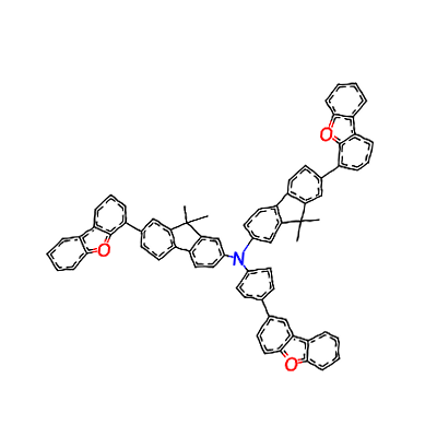 CC1(C)c2cc(-c3cccc4c3oc3ccccc34)ccc2-c2ccc(N(c3ccc(-c4ccc5oc6ccccc6c5c4)cc3)c3ccc4c(c3)C(C)(C)c3cc(-c5cccc6c5oc5ccccc56)ccc3-4)cc21